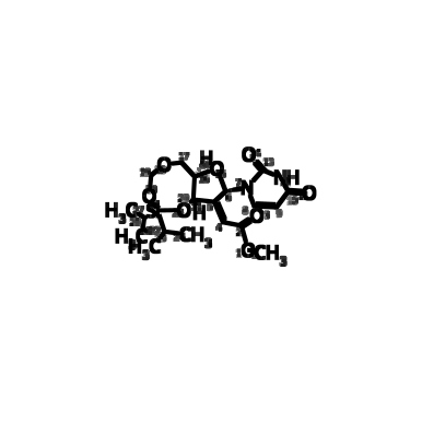 COC(=O)/C=C1\[C@H](n2ccc(=O)[nH]c2=O)O[C@@H]2COCO[Si](C(C)C)(C(C)C)O[C@@H]12